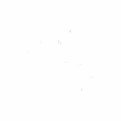 C=CC(=O)O.CN(C)C.O=S(=O)(O)O